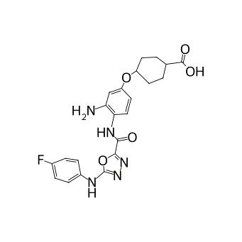 Nc1cc(OC2CCC(C(=O)O)CC2)ccc1NC(=O)c1nnc(Nc2ccc(F)cc2)o1